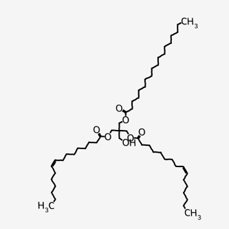 CCCCCC/C=C\CCCCCCCC(=O)OCC(CO)(COC(=O)CCCCCCC/C=C\CCCCCC)COC(=O)CCCCCCCCCCCCCCCCC